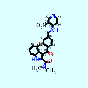 CN(C)C(=O)c1[nH]c2cccc(Br)c2c1C(=O)c1ccc(CNc2ccncc2[N+](=O)[O-])cc1